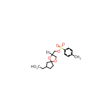 CCC1(COS(=O)(=O)c2ccc(C)cc2)COC2(CCC(CC(=O)O)C2)O1